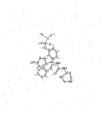 O=C(Nc1ccncn1)N[C@@](Cc1ccccc1)(c1cccc(OC(F)(F)C(F)F)c1)c1ccc(Cl)cn1